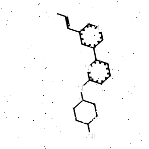 NC1CCC(Nc2cccc(-c3cncc(C=CC(=O)O)c3)n2)CC1